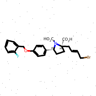 O=C(O)N1[C@@H](c2ccc(OCc3ccccc3F)cc2)CC[C@@]1(CC=CCBr)C(=O)O